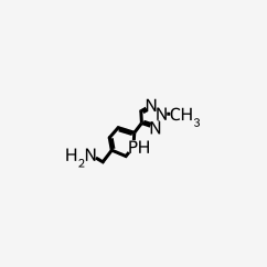 Cn1ncc(C2=CC=C(CN)CP2)n1